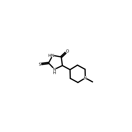 CN1CCC(C2NC(=S)NC2=O)CC1